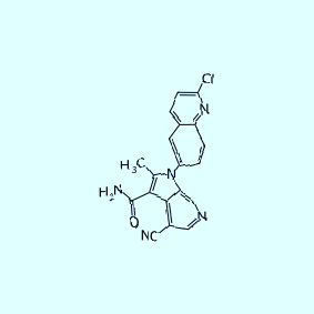 Cc1c(C(N)=O)c2c(C#N)cncc2n1-c1ccc2nc(Cl)ccc2c1